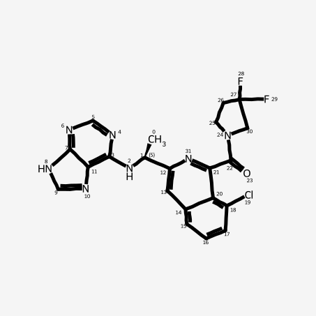 C[C@H](Nc1ncnc2[nH]cnc12)c1cc2cccc(Cl)c2c(C(=O)N2CCC(F)(F)C2)n1